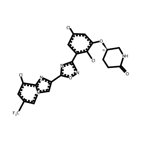 O=C1CC[C@@H](Oc2cc(Cl)cc(-c3noc(-c4cn5cc(C(F)(F)F)cc(Cl)c5n4)n3)c2Cl)CN1